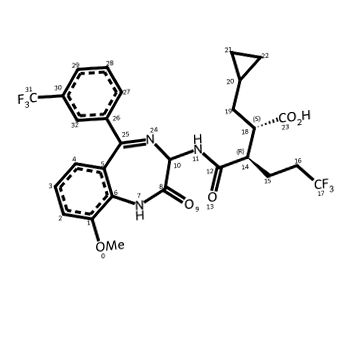 COc1cccc2c1NC(=O)C(NC(=O)[C@H](CCC(F)(F)F)[C@H](CC1CC1)C(=O)O)N=C2c1cccc(C(F)(F)F)c1